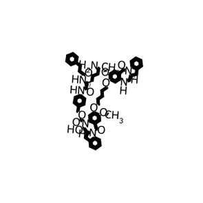 COc1cc2c(cc1OCCCCCOc1cc3c(cc1OC)C(=O)N1c4ccccc4C[C@H]1C(O)N3C(=O)OCc1ccc(NC(=O)[C@H](CCCCN)NC(=O)CCc3ccccc3)cc1)NC[C@@H]1Cc3ccccc3N1C2=O